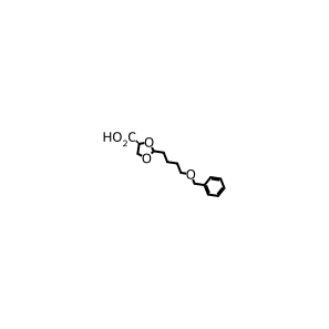 O=C(O)[C@@H]1COC(CCCCOCc2ccccc2)O1